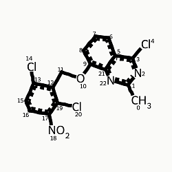 Cc1nc(Cl)c2cccc(OCc3c(Cl)ccc([N+](=O)[O-])c3Cl)c2n1